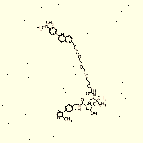 Cc1ncsc1-c1ccc(CNC(=O)C2CC(O)CN2C[C@@H](NC(=O)COCCOCCOCCOCCCOc2ccc3nc(-c4ccc(N(C)C)cc4)ccc3c2)C(C)(C)C)cc1